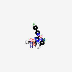 CCC(=O)NS(=O)(=O)c1cnn2c(Nc3cc(C(F)(F)F)ccc3Cl)c(C(=O)N3CCC(c4ccc(F)cc4)CC3)cnc12